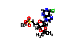 CCOS(=O)(=O)CC[C@H]1O[C@@H](n2cnc3c(Cl)ncnc32)[C@@H]2OC(C)(C)O[C@@H]21